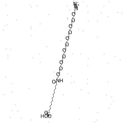 [N-]=[N+]=NCCOCCOCCOCCOCCOCCOCCOCCOCCOCCOCCOCCNC(=O)CCCCCCCCCCCCCCCS(=O)(=O)O